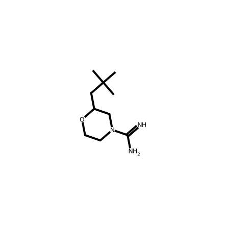 CC(C)(C)CC1CN(C(=N)N)CCO1